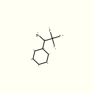 FC(F)(F)C(Br)C1CCCCC1